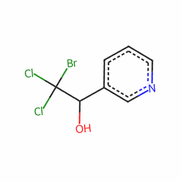 OC(c1cccnc1)C(Cl)(Cl)Br